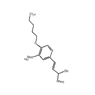 CCCCCC(O)C=Cc1cc(OC)c(OCCCCC(=O)O)cn1.Cl